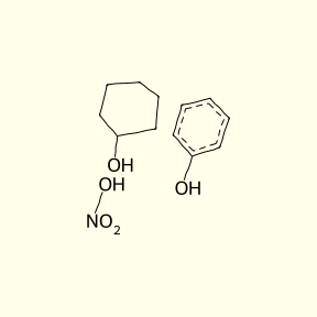 O=[N+]([O-])O.OC1CCCCC1.Oc1ccccc1